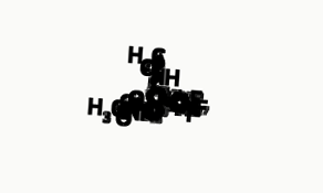 C=CC(=O)NC[C@@H]1Cc2c(C(=O)NS(C)(=O)=O)cccc2N(c2ccc(C(F)(F)F)cc2)C1